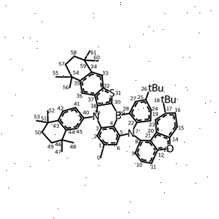 Cc1cc2c3c(c1)N(c1cccc4oc5ccc(C(C)(C)C)cc5c14)c1ccc(C(C)(C)C)cc1B3c1sc3cc4c(cc3c1N2c1ccc2c(c1)C(C)(C)CCC2(C)C)C(C)(C)CCC4(C)C